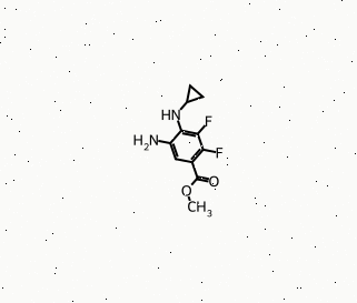 COC(=O)c1cc(N)c(NC2CC2)c(F)c1F